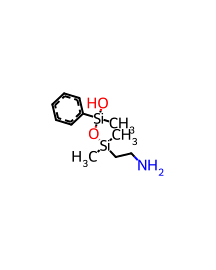 C[Si](C)(CCN)O[Si](C)(O)c1ccccc1